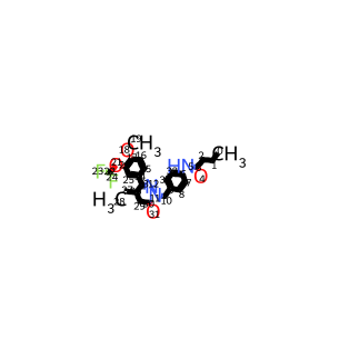 CCCC(=O)Nc1ccc(CN2N=C(c3ccc(OC)c(OC(F)F)c3)C(CC)CC2=O)cc1